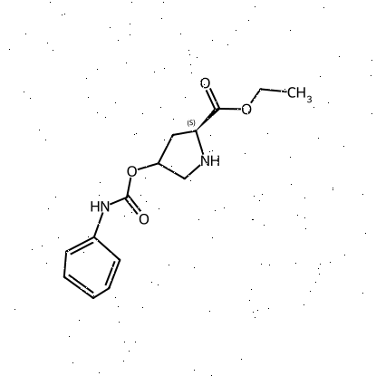 CCOC(=O)[C@@H]1CC(OC(=O)Nc2ccccc2)CN1